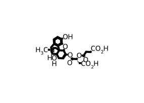 CN1CCC23c4c5ccc(O)c4OC2C(OC(=O)[C@@H](CC(=O)O)OC(=O)CCC(=O)O)=CC[C@@]3(O)[C@H]1C5